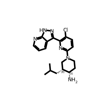 CC(C)C[C@@H]1CN(c2ccc(Cl)c(-c3n[nH]c4ncccc34)n2)CC[C@@H]1N